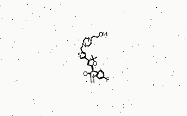 CC1(C)O/C(=C2/C(=O)Nc3cc(F)ccc32)C=C1c1csc(CN2CCN(CCO)CC2)c1